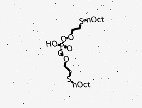 CCCCCCCCSCCOOP(=O)(O)OOCCSCCCCCCCC